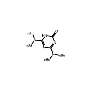 CCCCN(CCCC)c1nc(N(CCCC)CCCC)[nH]c(=O)n1